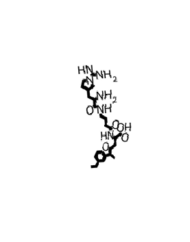 CCc1ccc2oc(CC(NC(=O)CCCNC(=O)C(N)CC3=CCN(C(=N)N)C3)C(=O)O)c(C)c2c1